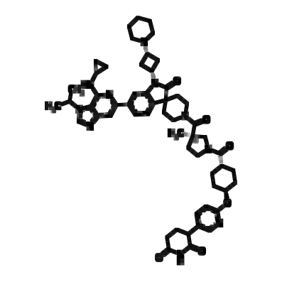 CC(C)n1cnc2cc(-c3ccc4c(c3)N([C@H]3C[C@@H](N5CCCCC5)C3)C(=O)C43CCN(C(=O)[C@]4(C)CCN(C(=O)[C@H]5CC[C@H](Oc6ccc(C7CCC(=O)NC7=O)cn6)CC5)C4)CC3)nc(NC3CC3)c21